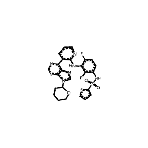 O=S(=O)(Nc1ccc(F)c(Nc2ncccc2-c2ncnc3c2ncn3C2CCCCO2)c1F)c1cccs1